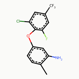 Cc1ccc(Oc2c(F)cc(C(F)(F)F)cc2Cl)cc1N